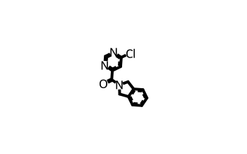 O=C(c1cc(Cl)ncn1)N1Cc2ccccc2C1